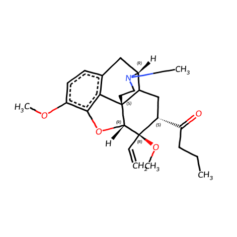 C=C[C@@]1(OC)[C@@H](C(=O)CCC)CC2[C@H]3Cc4ccc(OC)c5c4[C@@]2(CCN3C)[C@H]1O5